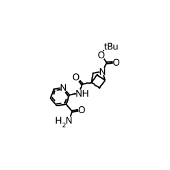 CC(C)(C)OC(=O)N1CC2(C(=O)Nc3ncccc3C(N)=O)CC1C2